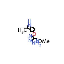 CON=Cc1c(N)ncnc1Oc1ccc2[nH]cc(C)c2c1